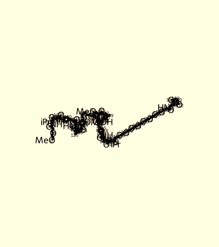 COCCOCCC(=O)N[C@H](C(=O)N[C@@H](C)C(=O)Nc1ccc(COC(=O)N2c3cc(OCCCCCOc4cc5c(cc4OC)C(=O)N4C=C(C)C[C@H]4[C@H](O)N5C(=O)OCc4ccc(NC(=O)[C@H](C)NC(=O)[C@@H](NC(=O)CCOCCOCCOCCOCCOCCOCCOCCOCCNC(=O)CCN5C(=O)C=CC5=O)C(C)C)cc4)c(OC)cc3C(=O)N3C=C(C)C[C@H]3[C@@H]2O)cc1)C(C)C